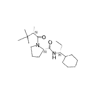 CC[C@@H](NC(=O)[C@@H]1CCCN1C(=O)[C@@H](C)C(C)(C)C)C1CCCCC1